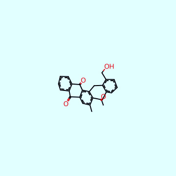 CC(=O)c1c(C)cc2c(c1Cc1c(C)cccc1CO)C(=O)c1ccccc1C2=O